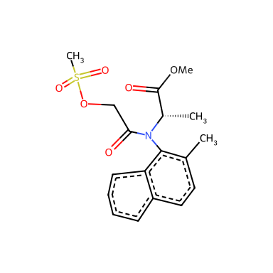 COC(=O)[C@H](C)N(C(=O)COS(C)(=O)=O)c1c(C)ccc2ccccc12